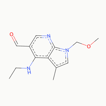 CCNc1c(C=O)cnc2c1c(C)cn2COC